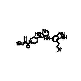 CN(C)CCc1cc(Nc2ccnc3[nH]c(C4=CCN(C(=O)NC(C)(C)C)CC4)cc23)cc2cn[nH]c12